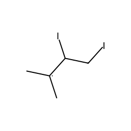 C[C](C)C(I)CI